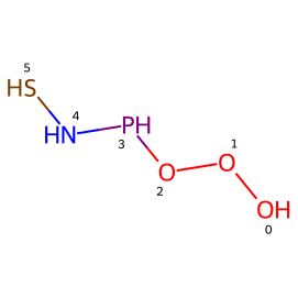 OOOPNS